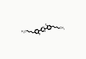 CCCCCc1ccc(-c2cnc(-c3ccc(CCCCC)cc3F)nc2)c(F)c1